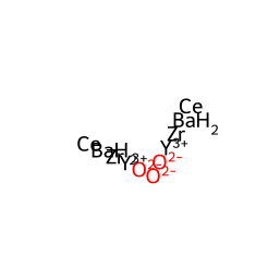 [BaH2].[BaH2].[Ce].[Ce].[O-2].[O-2].[O-2].[Y+3].[Y+3].[Zr].[Zr]